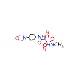 CNC(=O)[C@H](O)[C@@H](O)C(=O)Nc1ccc(N2CCOCC2)cc1